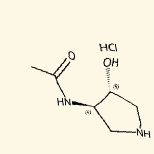 CC(=O)N[C@@H]1CNC[C@H]1O.Cl